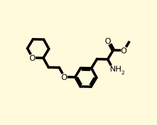 COC(=O)C(N)Cc1cccc(OCCC2CCCCO2)c1